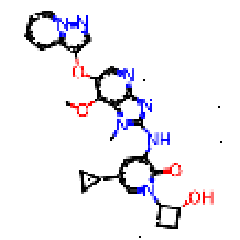 COc1c(Oc2cnn3ccccc23)cnc2nc(Nc3cc(C4CC4)cn(C4CC[C@@H]4O)c3=O)n(C)c12